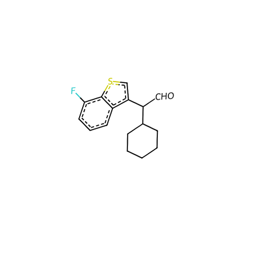 O=CC(c1csc2c(F)cccc12)C1CCCCC1